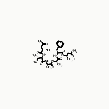 C[C@H](NC(=O)[C@H](C)NC(=O)[C@@H](NC(=O)[C@@H](N)CC(N)=O)[C@@H](C)O)C(=O)N[C@@H](Cc1ccccc1)C(=O)N[C@@H](CC(N)=O)C(=O)O